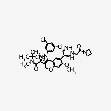 COc1cc2c(cc1/C(C=N)=C/NCC(=O)N1CCC1)-c1c(c(C(=O)N(C)C(C)(C)C)nn1-c1cc(Cl)cc(Cl)c1)CO2